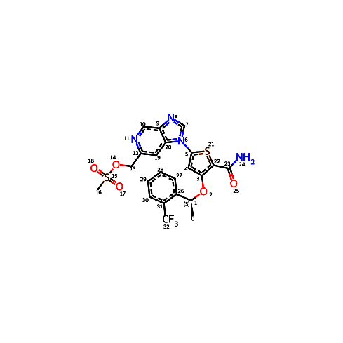 C[C@H](Oc1cc(-n2cnc3cnc(COS(C)(=O)=O)cc32)sc1C(N)=O)c1ccccc1C(F)(F)F